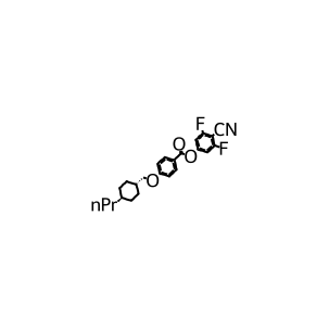 CCC[C@H]1CC[C@H](COc2ccc(C(=O)Oc3cc(F)c(C#N)c(F)c3)cc2)CC1